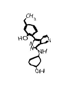 CCc1ccc(-c2nnc(N[C@@H]3CCC[C@@H](O)C3)c3cnccc23)c(O)c1